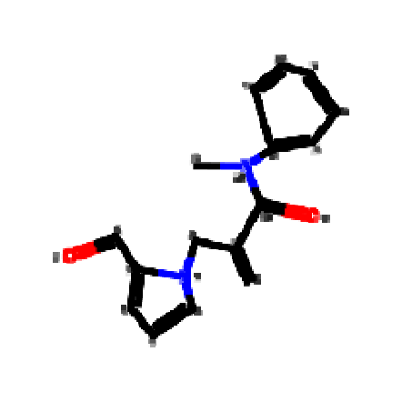 C=C(Cn1cccc1C=O)C(=O)N(C)c1ccccc1